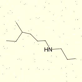 CCCNCCCC(C)CC